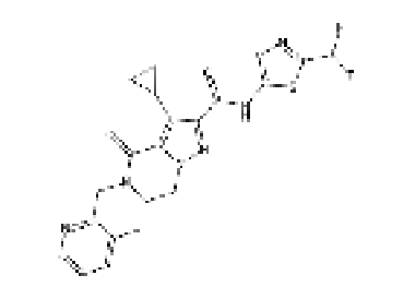 Cc1cccnc1CN1CCn2nc(C(=O)Nc3nnc(C(F)F)s3)c(C3CC3)c2C1=O